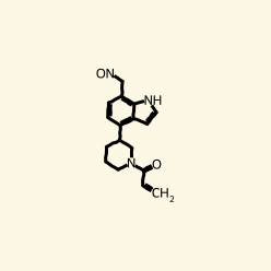 C=CC(=O)N1CCCC(c2ccc(CN=O)c3[nH]ccc23)C1